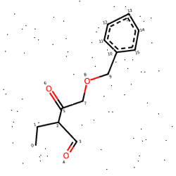 CCC(C=O)C(=O)COCc1ccccc1